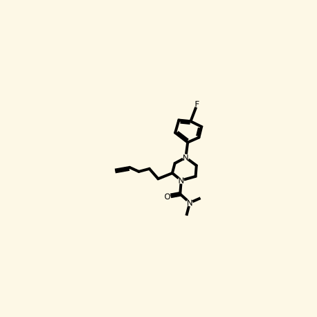 C=CCCCC1CN(c2ccc(F)cc2)CCN1C(=O)N(C)C